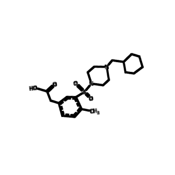 Cc1ccc(CC(=O)O)cc1S(=O)(=O)N1CCN(CC2CCCCC2)CC1